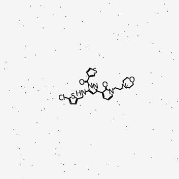 O=C(c1ccsc1)n1nc(-c2cccn(CCN3CCOCC3)c2=O)cc1NCc1ccc(Cl)s1